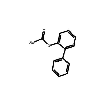 CCC(C)C(=O)Oc1ccccc1-c1ccccc1